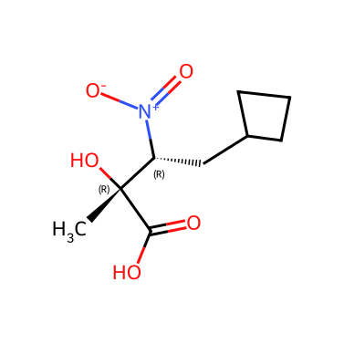 C[C@](O)(C(=O)O)[C@@H](CC1CCC1)[N+](=O)[O-]